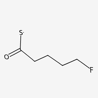 O=C([S])CCCCF